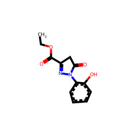 CCOC(=O)C1=NN(c2ccccc2O)C(=O)C1